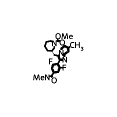 CNC(=O)c1cc(F)c(-c2nc3cc(C)ccn3c2C[C@@H]2CCCCN(C(=O)OC)C2)c(F)c1